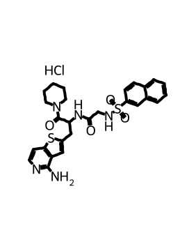 Cl.Nc1nccc2sc(CC(NC(=O)CNS(=O)(=O)c3ccc4ccccc4c3)C(=O)N3CCCCC3)cc12